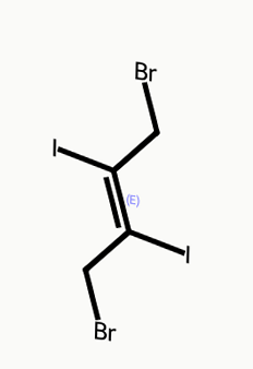 BrC/C(I)=C(\I)CBr